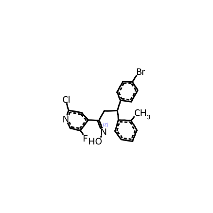 Cc1ccccc1C(C/C(=N/O)c1cc(Cl)ncc1F)c1ccc(Br)cc1